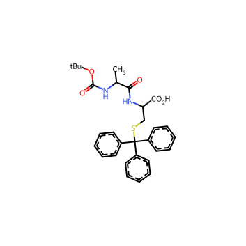 CC(NC(=O)OC(C)(C)C)C(=O)NC(CSC(c1ccccc1)(c1ccccc1)c1ccccc1)C(=O)O